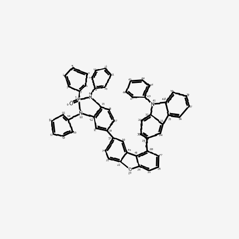 O=P1(c2ccccc2)N(c2ccccc2)c2ccc(-c3ccc4oc5cccc(-c6ccc7c(c6)c6ccccc6n7-c6ccccc6)c5c4c3)cc2N1c1ccccc1